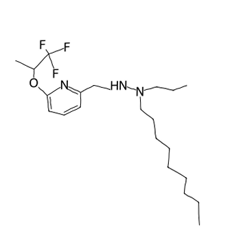 CCCCCCCCCN(CCC)NCCc1cccc(OC(C)C(F)(F)F)n1